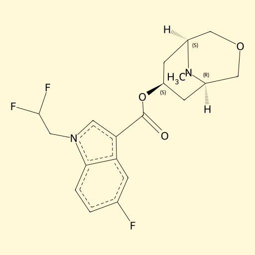 CN1[C@@H]2COC[C@H]1C[C@@H](OC(=O)c1cn(CC(F)F)c3ccc(F)cc13)C2